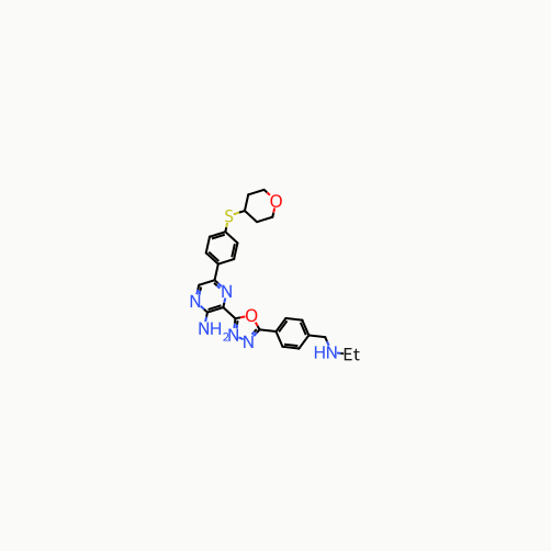 CCNCc1ccc(-c2nnc(-c3nc(-c4ccc(SC5CCOCC5)cc4)cnc3N)o2)cc1